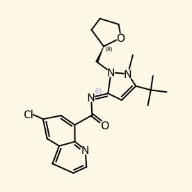 Cn1c(C(C)(C)C)c/c(=N\C(=O)c2cc(Cl)cc3cccnc23)n1C[C@H]1CCCO1